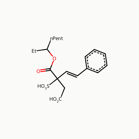 CCCCCC(CC)OC(=O)C(C=Cc1ccccc1)(CC(=O)O)S(=O)(=O)O